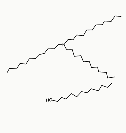 CCCCCCCCCCCCN(CCCCCCCCCCCC)CCCCCCCCCCCC.CCCCCCCCCCCCO